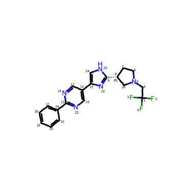 FC(F)(F)CN1CC[C@@H](c2nc(-c3cnc(-c4ccccc4)nc3)c[nH]2)C1